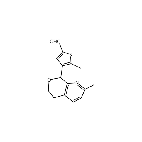 Cc1ccc2c(n1)C(c1cc(C=O)sc1C)OCC2